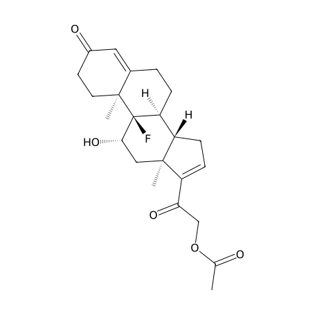 CC(=O)OCC(=O)C1=CC[C@H]2[C@@H]3CCC4=CC(=O)CC[C@]4(C)[C@@]3(F)[C@@H](O)C[C@]12C